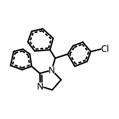 Clc1ccc(C(c2ccccc2)N2CCN=C2c2ccccc2)cc1